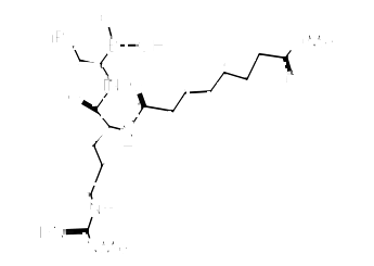 CNC(=N)NCCC[C@H](NC(=O)CCCCCCC(=O)OC)C(=O)N[C@@H](CC(C)C)B(O)O